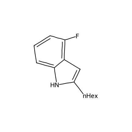 CCCCCCc1cc2c(F)cccc2[nH]1